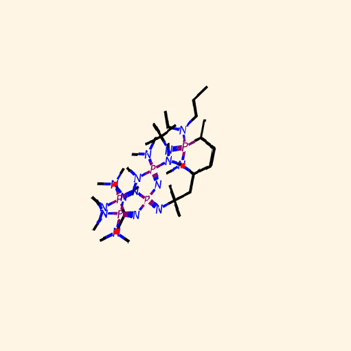 CCCN(CC)P1(=NC(C)(C)C)C(C)CCC(CC(C)(C)N=P(N=P(C(C)C)(N(C)C)N(C)C)(N=P(N(C)C)(N(C)C)N(C)C)N=P(N(C)C)(N(C)C)N(C)C)N1C